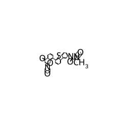 C[C@H](C(=O)Nc1ccc2sc3c(-c4cccc5c(=O)cc(N6CCOCC6)oc45)cccc3c2c1)N1CCOCC1